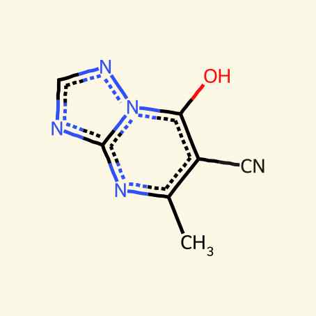 Cc1nc2ncnn2c(O)c1C#N